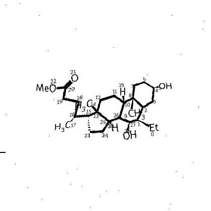 CC[C@@H]1C2C[C@H](O)CC[C@@]2(C)[C@H]2CCC3(C)[C@@H]([C@H](C)CCC(=O)OC)CC[C@H]3C2[C@@H]1O